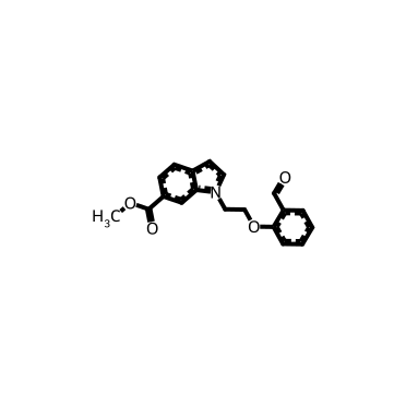 COC(=O)c1ccc2ccn(CCOc3ccccc3C=O)c2c1